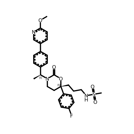 COc1ccc(-c2ccc([C@H](C)N3CC[C@@](CCCNS(C)(=O)=O)(c4ccc(F)cc4)OC3=O)cc2)cn1